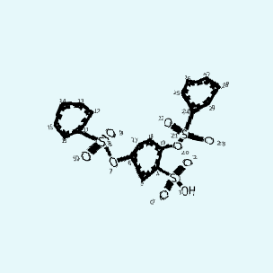 O=S(=O)(O)c1cc(OS(=O)(=O)c2ccccc2)ccc1OS(=O)(=O)c1ccccc1